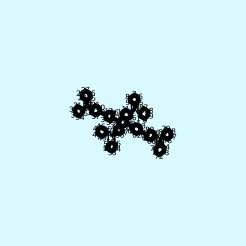 C1=CC(N(c2ccccc2)c2ccc3c(-c4ccc(-c5ccc(N(c6ccccc6)c6ccccc6)cc5)cc4)c4cc(N(c5ccccc5)c5ccccc5)ccc4c(-c4ccc(-c5ccc(N(c6ccccc6)c6ccccc6)cc5)cc4)c3c2)=CCC1